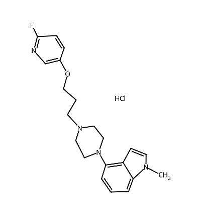 Cl.Cn1ccc2c(N3CCN(CCCOc4ccc(F)nc4)CC3)cccc21